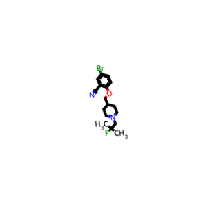 CC(C)(F)CN1CCC(COc2ccc(Br)cc2C#N)CC1